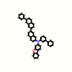 c1ccc(-c2cccc(N(c3ccc4ccc(-c5ccc6ccc(-c7ccccc7)cc6c5)cc4c3)c3ccc4c(c3)oc3ccccc34)c2)cc1